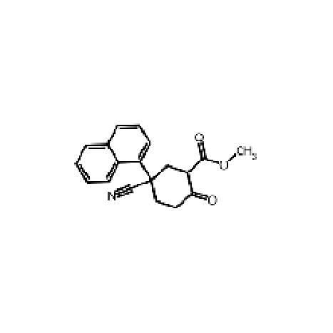 COC(=O)C1CC(C#N)(c2cccc3ccccc23)CCC1=O